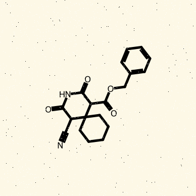 N#CC1C(=O)NC(=O)C(C(=O)OCc2ccccc2)C12CCCCC2